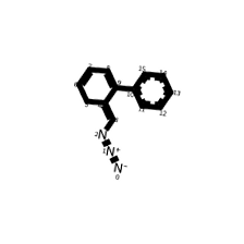 [N-]=[N+]=NC=C1CC=CC=C1c1ccccc1